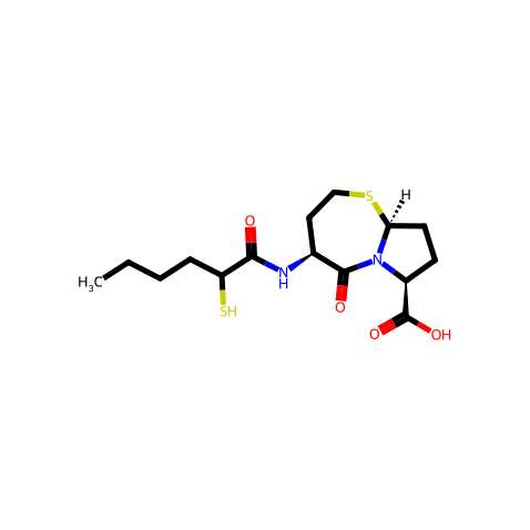 CCCCC(S)C(=O)N[C@H]1CCS[C@H]2CC[C@@H](C(=O)O)N2C1=O